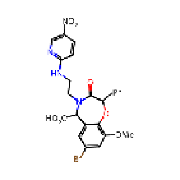 COc1cc(Br)cc2c1OC(C(C)C)C(=O)N(CCNc1ccc([N+](=O)[O-])cn1)C2C(=O)O